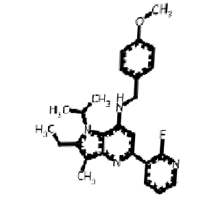 CCc1c(C)c2nc(-c3cccnc3F)cc(NCc3ccc(OC)cc3)c2n1C(C)C